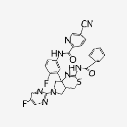 N#Cc1ccc(C(=O)Nc2ccc(F)c(C34CN(c5ncc(F)cn5)CC3CSC(NC(=O)c3ccccc3)=N4)c2)nc1